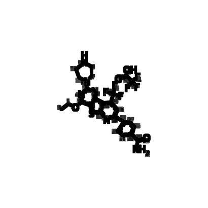 CCOc1nc(N2CCNCC2)nc2c1sc1nc(-c3ccc(C(N)=O)cc3)cc(C(F)(F)F)c12.O=C(O)C(F)(F)F